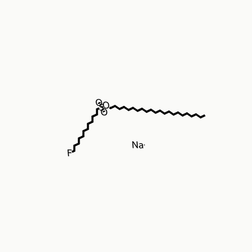 CCCCCCCCCCCCCCCCCCCCCCOS(=O)(=O)CCCCCCCCCCCCF.[Na]